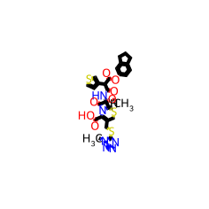 CO[C@@]1(NC(=O)C(C(=O)Oc2ccc3c(c2)CCC3)c2ccsc2)C(=O)N2C(C(=O)O)=C(CSc3nnnn3C)CS[C@@H]21